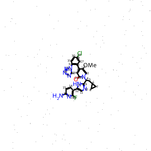 COc1cn(C(CC2CC2)c2ncc(-c3ccc(N)nc3F)[nH]2)c(=O)cc1-c1cc(Cl)ccc1-n1cnnn1